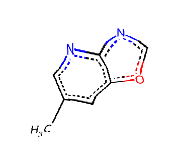 Cc1cnc2ncoc2c1